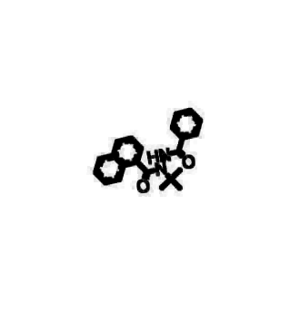 CC(C)(C)N(NC(=O)c1ccccc1)C(=O)c1cccc2ccccc12